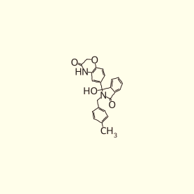 Cc1ccc(CN2C(=O)c3ccccc3C2(O)c2ccc3c(c2)NC(=O)CO3)cc1